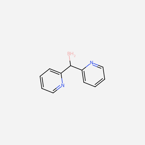 BC(c1ccccn1)c1ccccn1